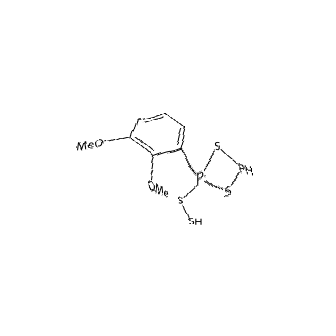 COc1cccc([P]2(SS)SPS2)c1OC